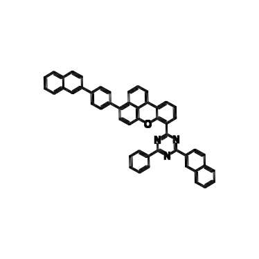 c1ccc(-c2nc(-c3ccc4ccccc4c3)nc(-c3cccc4c3Oc3ccc(-c5ccc(-c6ccc7ccccc7c6)cc5)c5cccc-4c35)n2)cc1